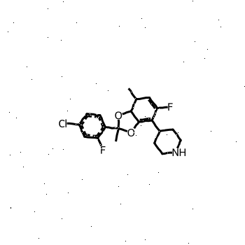 CC1C=C(F)C(C2CCNCC2)=C2OC(C)(c3ccc(Cl)cc3F)OC21